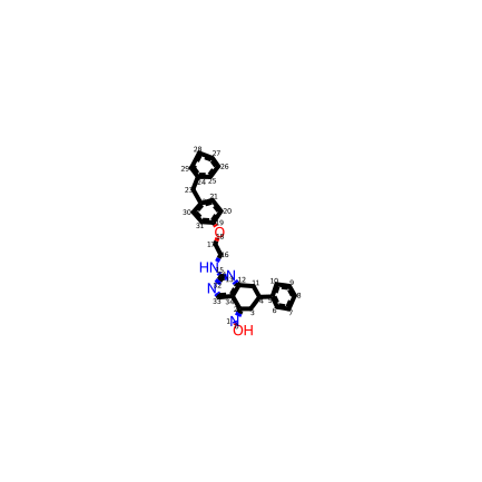 O/N=C1\CC(c2ccccc2)Cc2nc(NCCOc3ccc(Cc4ccccc4)cc3)ncc21